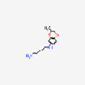 CC1COc2ccc(NCCCCCN)cc2O1